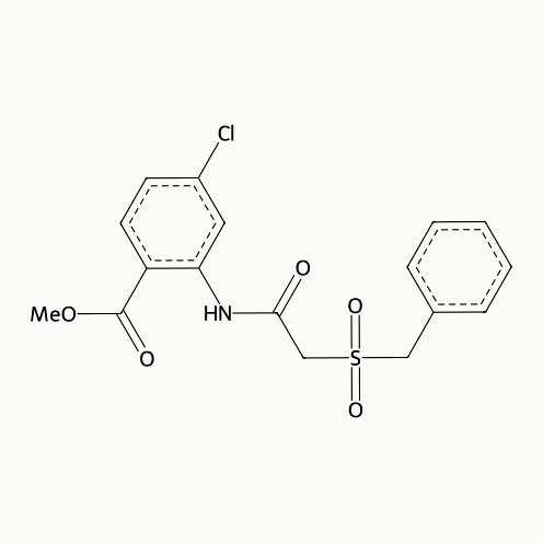 COC(=O)c1ccc(Cl)cc1NC(=O)CS(=O)(=O)Cc1ccccc1